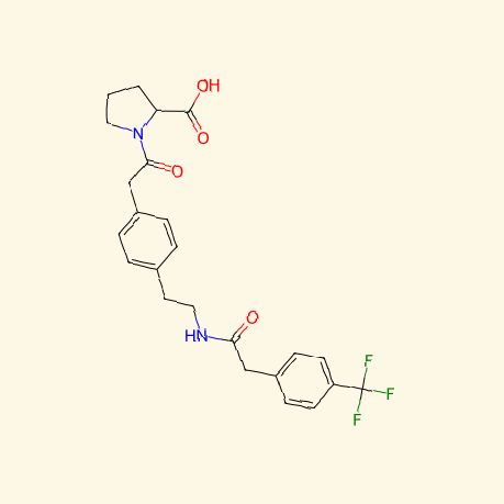 O=C(Cc1ccc(C(F)(F)F)cc1)NCCc1ccc(CC(=O)N2CCCC2C(=O)O)cc1